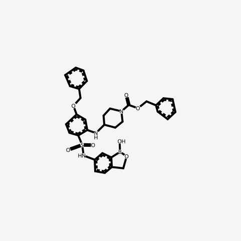 O=C(OCc1ccccc1)N1CCC(Nc2cc(OCc3ccccc3)ccc2S(=O)(=O)Nc2ccc3c(c2)B(O)OC3)CC1